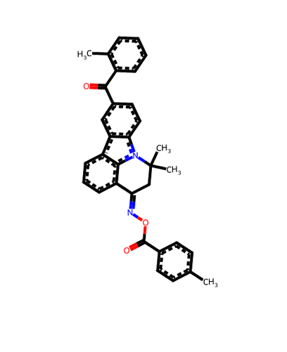 Cc1ccc(C(=O)O/N=C2\CC(C)(C)n3c4ccc(C(=O)c5ccccc5C)cc4c4cccc2c43)cc1